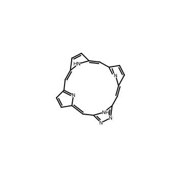 C1=Cc2cc3nnc(cc4nc(cc5ccc(cc1n2)[nH]5)C=C4)[nH]3